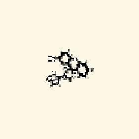 CCc1ccc2c(c1)C1(OCC(C3CCOC3)O1)c1ccccc1S2